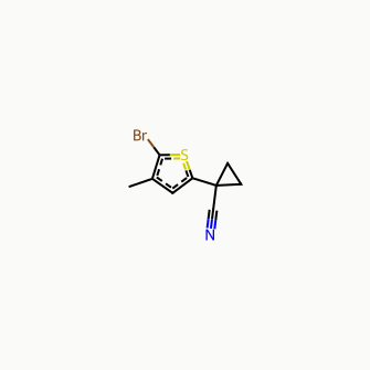 Cc1cc(C2(C#N)CC2)sc1Br